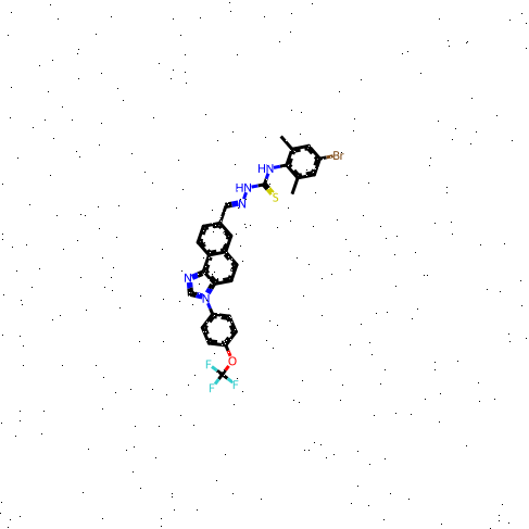 Cc1cc(Br)cc(C)c1NC(=S)NN=Cc1ccc2c(ccc3c2ncn3-c2ccc(OC(F)(F)F)cc2)c1